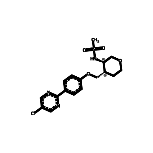 CS(=O)(=O)N[C@H]1COCC[C@@H]1COc1ccc(-c2ncc(Cl)cn2)cc1